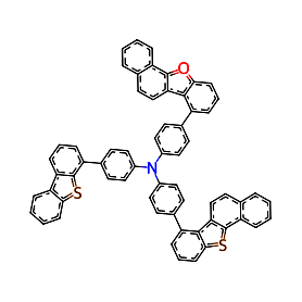 c1ccc2c(c1)ccc1c2oc2cccc(-c3ccc(N(c4ccc(-c5cccc6c5sc5ccccc56)cc4)c4ccc(-c5cccc6sc7c8ccccc8ccc7c56)cc4)cc3)c21